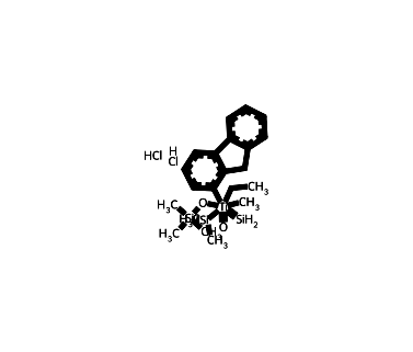 C[CH2][Ti]([CH3])(=[O])(=[SiH2])([O][Si](C)(C)C)([c]1cccc2c1Cc1ccccc1-2)[SiH](C)C.Cl.Cl